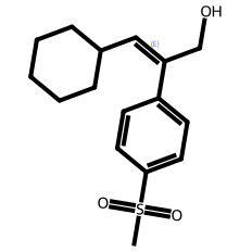 CS(=O)(=O)c1ccc(/C(=C\C2CCCCC2)CO)cc1